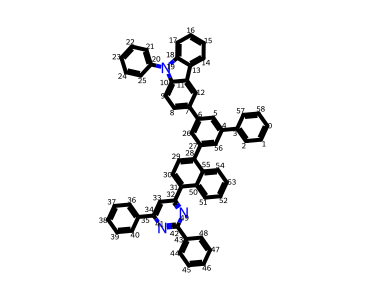 c1ccc(-c2cc(-c3ccc4c(c3)c3ccccc3n4-c3ccccc3)cc(-c3ccc(-c4cc(-c5ccccc5)nc(-c5ccccc5)n4)c4ccccc34)c2)cc1